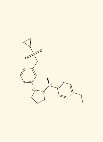 COc1ccc([C@H](C)N2CCC[C@@H]2c2cc(CS(=O)(=O)C3CC3)ccn2)cc1